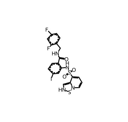 O=C(NCc1ccc(F)cc1F)c1ccc(I)cc1NS(=O)(=O)C1=CC=CN2SNC=C12